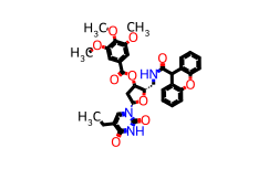 CCc1cn([C@@H]2CC(OC(=O)c3cc(OC)c(OC)c(OC)c3)[C@H](CNC(=O)C3c4ccccc4Oc4ccccc43)O2)c(=O)[nH]c1=O